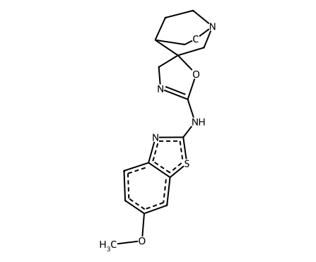 COc1ccc2nc(NC3=NCC4(CN5CCC4CC5)O3)sc2c1